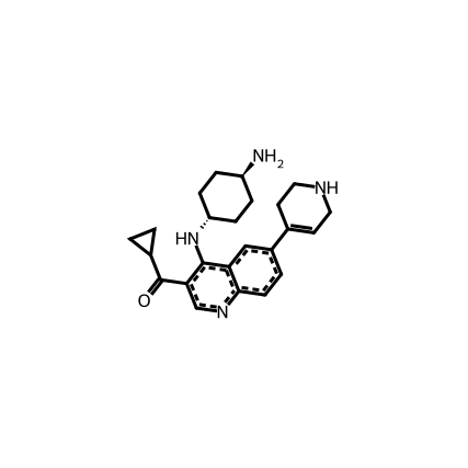 N[C@H]1CC[C@H](Nc2c(C(=O)C3CC3)cnc3ccc(C4=CCNCC4)cc23)CC1